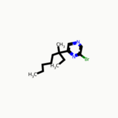 CCCCCC(C)(CC)c1cncc(Br)n1